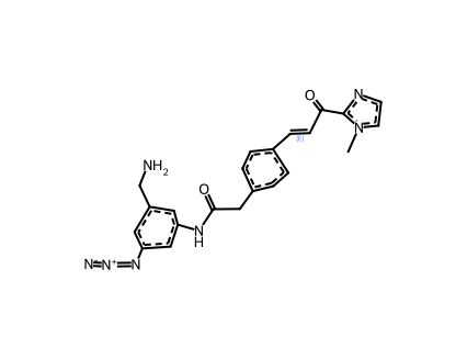 Cn1ccnc1C(=O)/C=C/c1ccc(CC(=O)Nc2cc(CN)cc(N=[N+]=[N-])c2)cc1